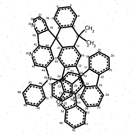 CC1(C)c2ccccc2C2(c3cc4c(cc31)C1(c3ccccc3-c3ccccc31)c1ccccc1-4)c1cccnc1-c1ncc(N(c3ccccc3)c3cccc4c3oc3ccccc34)cc12